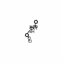 CC[N+]1(CC(=O)c2ccccc2)C=C(NCc2cccc(OCCl)c2)C=N1